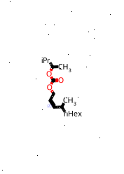 CCCCCCC(C)/C=C\COC(=O)OC(C)C(C)C